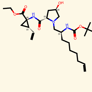 C=CCCCCC[C@@H](CN1C[C@H](O)C[C@H]1C(=O)N[C@]1(C(=O)OCC)C[C@H]1C=C)NC(=O)OC(C)(C)C